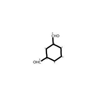 O=[C]C1CCCC([C]=O)C1